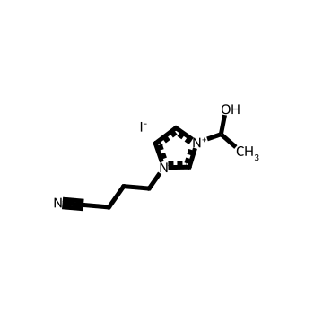 CC(O)[n+]1ccn(CCCC#N)c1.[I-]